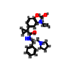 Cn1c(=O)oc2ccc(C3(C(=O)N[C@H](CN4CCCC4)c4ccccc4)CC3)cc21